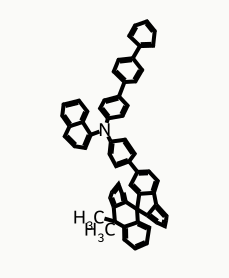 CC1(C)c2ccccc2C2(c3ccccc3-c3ccc(-c4ccc(N(c5ccc(-c6ccc(-c7ccccc7)cc6)cc5)c5cccc6ccccc56)cc4)cc32)c2ccccc21